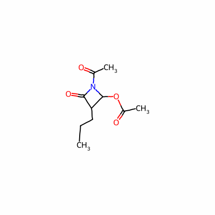 CCCC1C(=O)N(C(C)=O)C1OC(C)=O